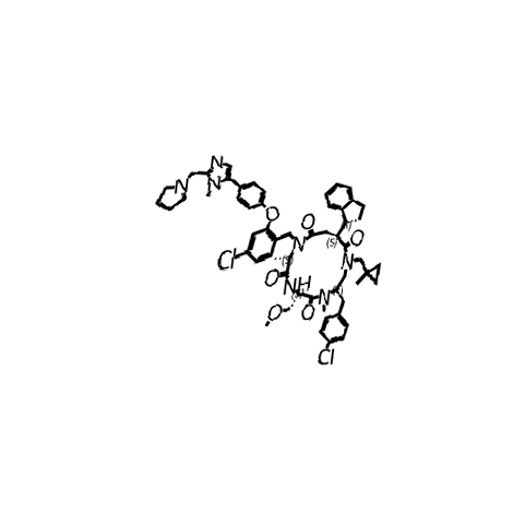 COC[C@@H]1NC(=O)[C@H](C)N(Cc2ccc(Cl)cc2Oc2ccc(-c3cnc(CN4CCCC4)n3C)cc2)C(=O)C[C@@H]([C@H]2CCc3ccccc32)C(=O)N(CC2(C)CC2)C[C@@H](Cc2ccc(Cl)cc2)N(C)C1=O